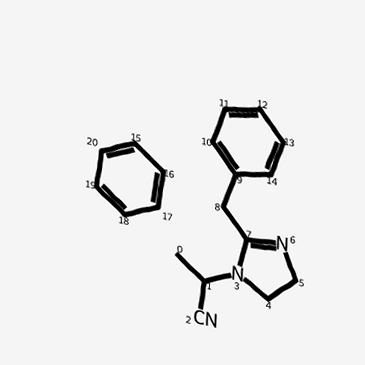 CC(C#N)N1CCN=C1Cc1ccccc1.c1ccccc1